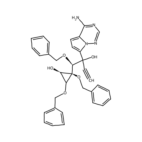 C#CC(O)(c1ccc2c(N)ncnn12)[C@H](OCc1ccccc1)[C@]1(OCc2ccccc2)C(OCc2ccccc2)[C@H]1O